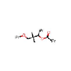 CC(C)OCC(C)(C)C(OC(=O)C(C)C)C(C)C